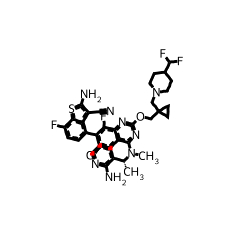 C[C@H](c1cccnc1N)N(C)c1nc(OCC2(CN3CCC(C(F)F)CC3)CC2)nc2c(F)c(-c3ccc(F)c4sc(N)c(C#N)c34)c(Cl)cc12